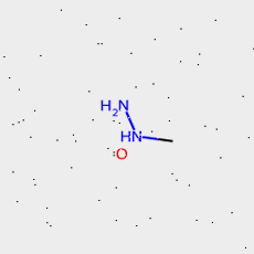 CNN.[O]